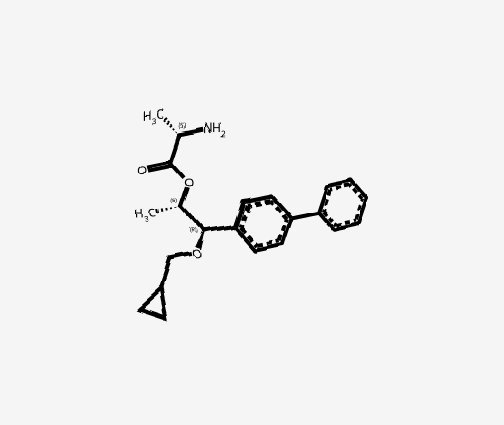 C[C@H](N)C(=O)O[C@@H](C)[C@H](OCC1CC1)c1ccc(-c2ccccc2)cc1